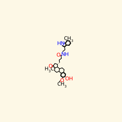 CCOc1cc2c(cc1O)CCC1C2CC[C@]2(C)C(=O)C[C@H](CCCC(=O)NCCc3c[nH]c4c(C)cccc34)C12